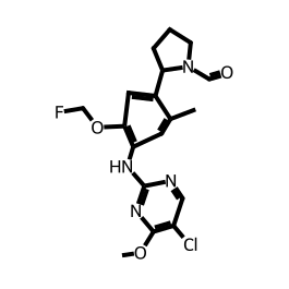 COc1nc(Nc2cc(C)c(C3CCCN3C=O)cc2OCF)ncc1Cl